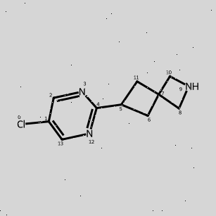 Clc1cnc(C2CC3(CNC3)C2)nc1